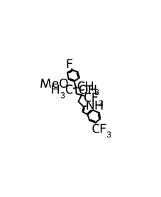 COc1cc(F)ccc1C(C)(C)CC(O)(Cc1cc2cc(C(F)(F)F)ccc2[nH]1)C(F)(F)F